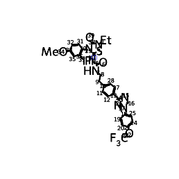 CCn1s/c(=N\C(=O)NCCc2ccc(-c3ncn(-c4ccc(OC(F)(F)F)cc4)n3)cc2)n(-c2ccc(OC)cc2C(C)C)c1=O